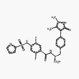 Cc1c(-c2ccc(C[C@H](NC(=O)c3cc(F)c(NS(=O)(=O)c4ccco4)cc3F)C(=O)O)cc2)c(=O)[nH]n1C